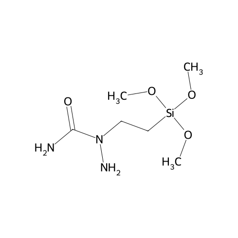 CO[Si](CCN(N)C(N)=O)(OC)OC